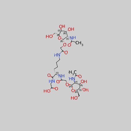 CC(=O)N[C@@H]1[C@H](OCC(=O)NCCCC[C@H](NC(=O)CO[C@@H]2O[C@H](CO)[C@@H](O)[C@H](O)[C@@H]2NC(C)=O)C(=O)NCC(=O)O)O[C@H](CO)[C@@H](O)[C@@H]1O